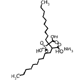 CCCCCCCCCCC(C(=O)O)C(CCCCCCCCCC)(C(=O)O)S(=O)(=O)O.N